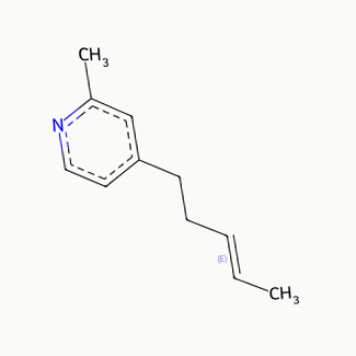 C/C=C/CCc1ccnc(C)c1